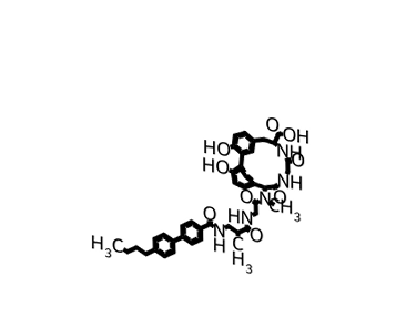 CCCCc1ccc(-c2ccc(C(=O)NCC(C)C(=O)NCC(=O)N(C)C3C(=O)NCC(=O)NC(C(=O)O)Cc4ccc(O)c(c4)-c4cc3ccc4O)cc2)cc1